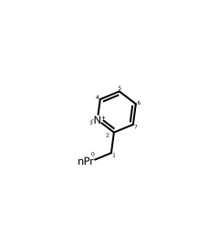 CCCCC1=[N+]C=CC=C1